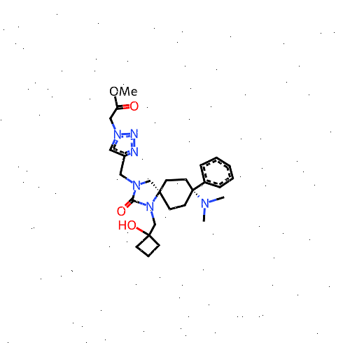 COC(=O)Cn1cc(CN2C[C@]3(CC[C@@](c4ccccc4)(N(C)C)CC3)N(CC3(O)CCC3)C2=O)nn1